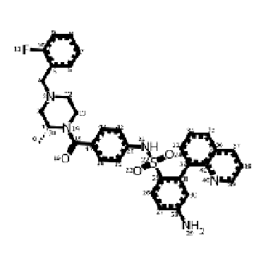 C[C@@H]1CN(Cc2ccccc2F)CCN1C(=O)c1ccc(NS(=O)(=O)c2ccc(N)cc2-c2cccc3cccnc23)cc1